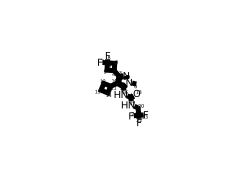 Cn1nc(C2CC(F)(F)C2)c(C2CCC2)c1NC(=O)NCC(F)(F)F